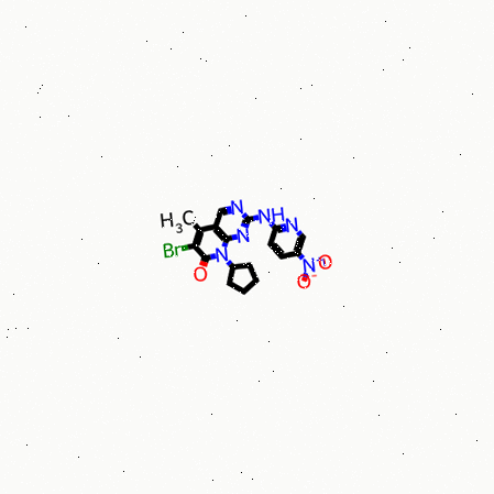 Cc1c(Br)c(=O)n(C2CCCC2)c2nc(Nc3ccc([N+](=O)[O-])cn3)ncc12